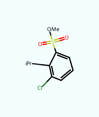 [CH2]OS(=O)(=O)c1cccc(Cl)c1C(C)C